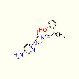 C=C(/C=C/N1CC2C[C@@H]1CN2c1ccc(N)cn1)c1ccccc1O